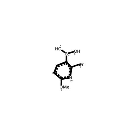 COc1ccc(B(O)O)c(C(C)C)n1